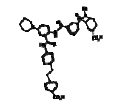 CCN1C2CC[C@H](C(=O)O)CC2[SH]1(=O)c1cccc(C(=O)Nc2ccc(N3CCCCC3)cc2C(=O)Nc2ccc(CCc3ccc(C(=O)O)cc3)cc2)c1